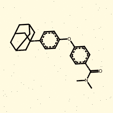 CN(C)C(=O)c1ccc(Oc2ccc(C34CC5CC(CC(C5)C3)C4)cc2)cc1